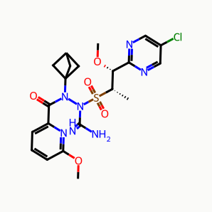 COc1cccc(C(=O)N(N(C(=N)N)S(=O)(=O)[C@@H](C)[C@H](OC)c2ncc(Cl)cn2)C23CC(C2)C3)n1